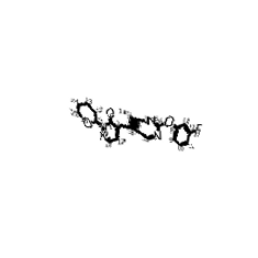 O=c1c(-c2cnc(Oc3cccc(F)c3)nc2)ccnn1C1CCCCO1